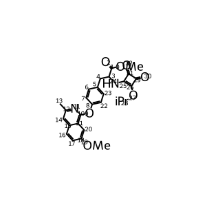 COC(=O)C(Cc1ccc(Oc2nc(C)cc3ccc(OC)cc23)cc1)Nc1c(OC(C)C)c(=O)c1=O